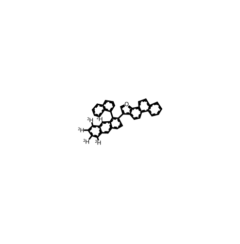 [2H]c1c([2H])c([2H])c2c([2H])c3c(-c4cccc5ccccc45)c(-c4coc5c4ccc4c6ccccc6ccc45)ccc3cc2c1[2H]